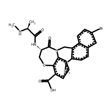 CN[C@@H](C)C(=O)N[C@H]1COc2c(C(=O)O)cccc2N(Cc2c(OC)ccc3cc(Br)ccc23)C1=O